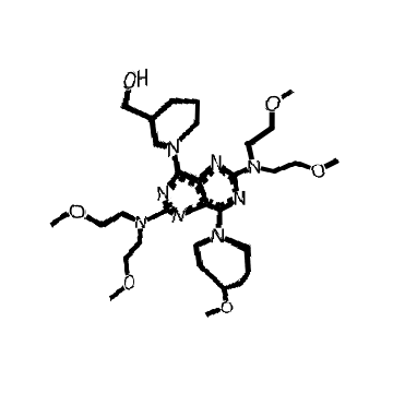 COCCN(CCOC)c1nc(N2CCCC(CO)C2)c2nc(N(CCOC)CCOC)nc(N3CCC(OC)CC3)c2n1